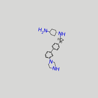 N[C@H]1CC[C@H](N[C@H]2C[C@@H]2c2ccc(-c3cccc(N4CCNCC4)c3)cc2)CC1